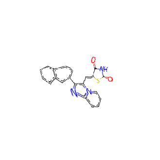 O=C1NC(=O)C(=Cc2c(-c3ccc4ccccc4c3)nc3ccccn23)S1